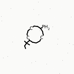 CCC(C)(C)C1CCCCCCC(P)CCCCCC1